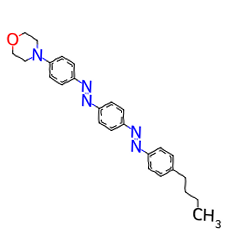 CCCCc1ccc(N=Nc2ccc(N=Nc3ccc(N4CCOCC4)cc3)cc2)cc1